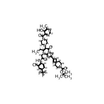 CCc1c(N2CCN(C(=O)c3ncnc(C)c3O)CC2)c(=O)n2nc(C3=CC4(CCN(C(=O)OC(C)(C)C)CC4)C3)nc2n1CC(=O)Nc1ccc(C(F)(F)F)cc1Cl